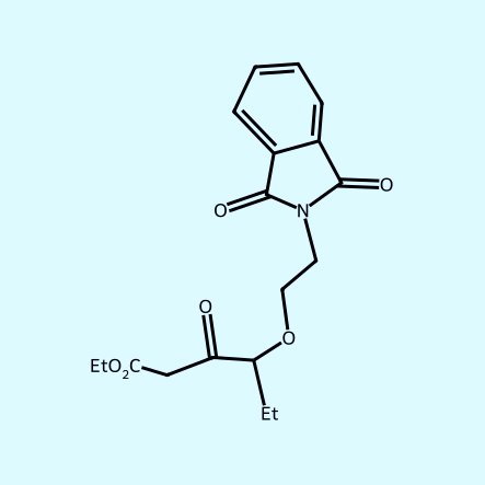 CCOC(=O)CC(=O)C(CC)OCCN1C(=O)c2ccccc2C1=O